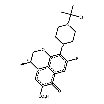 CCC(C)(C)N1CCN(c2c(F)cc3c(=O)c(C(=O)O)cn4c3c2OC[C@@H]4C)CC1